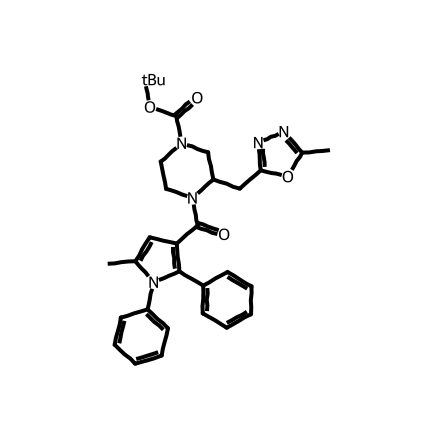 Cc1nnc(CC2CN(C(=O)OC(C)(C)C)CCN2C(=O)c2cc(C)n(-c3ccccc3)c2-c2ccccc2)o1